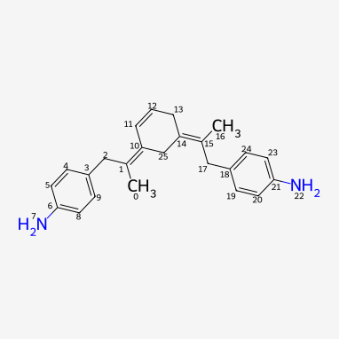 C/C(Cc1ccc(N)cc1)=C1/C=CC/C(=C(\C)Cc2ccc(N)cc2)C1